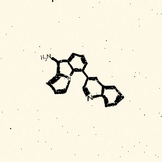 NC1c2cccc(-c3cnc4ccccc4c3)c2-n2cccc21